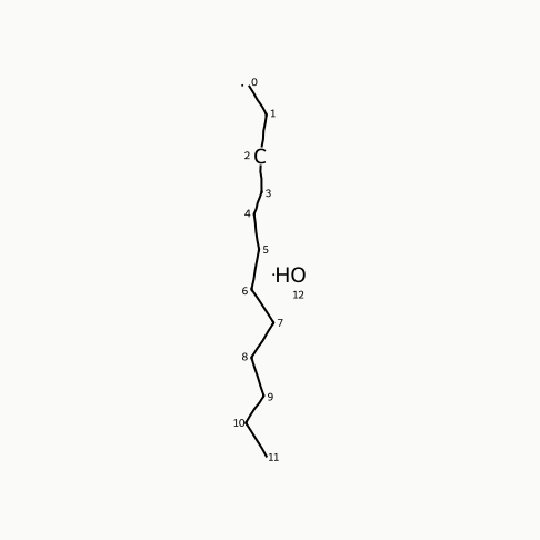 [CH2]CCCCCCCCCCC.[OH]